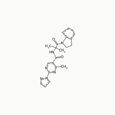 Cc1nc(-n2cccn2)ncc1C(=O)NC(C)(C)C(=O)N1CCc2ccccc21